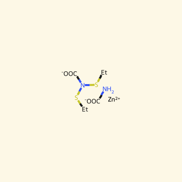 CCSN(SCC)C(=O)[O-].NC(=O)[O-].[Zn+2]